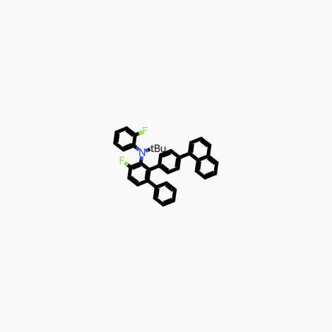 CC(C)(C)N(c1ccccc1F)c1c(F)ccc(-c2ccccc2)c1-c1ccc(-c2cccc3ccccc23)cc1